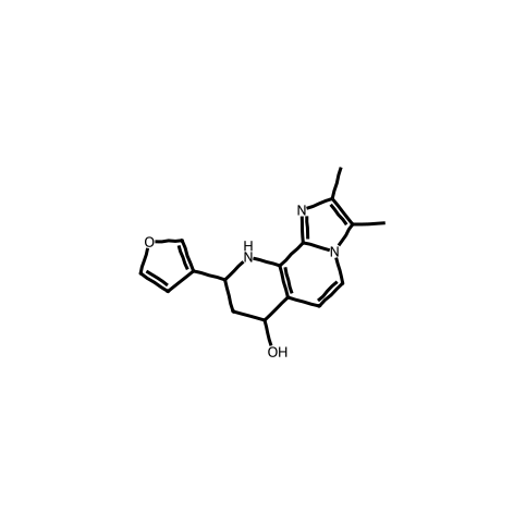 Cc1nc2c3c(ccn2c1C)C(O)CC(c1ccoc1)N3